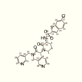 O=C(CN1CCC[C@H](NS(=O)(=O)c2cc3ccc(Cl)cc3s2)C1=O)N(Cc1cccnc1)Cc1cccnc1